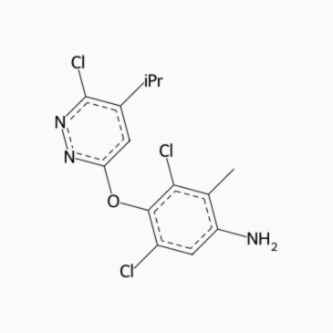 Cc1c(N)cc(Cl)c(Oc2cc(C(C)C)c(Cl)nn2)c1Cl